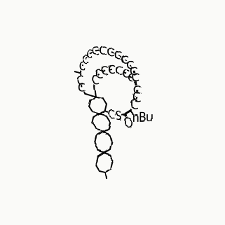 CCCCC1CCCC2CCCCCCCCCCCC(C)CCCC3(CCCCCCCC2)CCCC2(CCCC4(CCCC5(CCCC(C)CCC5)CCC4)CCC2)C(CC3)CSC1=O